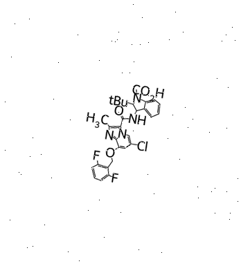 Cc1nc2c(OCc3c(F)cccc3F)cc(Cl)cn2c1C(=O)NC1c2ccccc2N(C(=O)O)C1C(C)(C)C